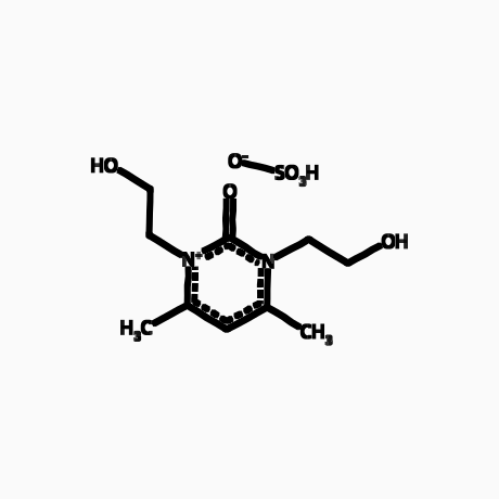 Cc1cc(C)[n+](CCO)c(=O)n1CCO.O=S(=O)([O-])O